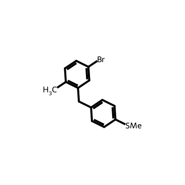 CSc1ccc(Cc2cc(Br)ccc2C)cc1